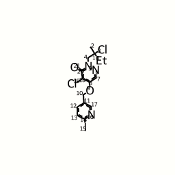 CCC(C)(Cl)Cn1ncc(OCc2ccc(I)nc2)c(Cl)c1=O